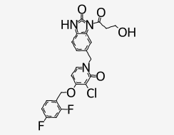 O=C(CCO)n1c(=O)[nH]c2ccc(Cn3ccc(OCc4ccc(F)cc4F)c(Cl)c3=O)cc21